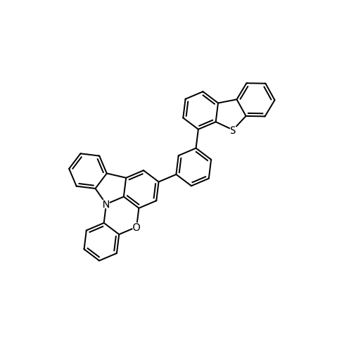 c1cc(-c2cc3c4c(c2)c2ccccc2n4-c2ccccc2O3)cc(-c2cccc3c2sc2ccccc23)c1